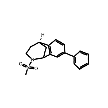 CS(=O)(=O)N1CC[C@@H]2CC1c1cc(-c3ccccc3)ccc12